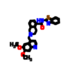 COc1cc2nccc(CN3CCc4c(cccc4C(=O)Nc4nc5ccccc5s4)C3)c2cc1OC